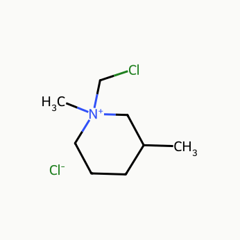 CC1CCC[N+](C)(CCl)C1.[Cl-]